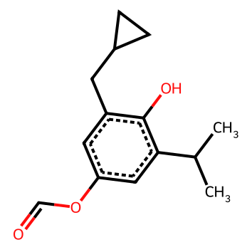 CC(C)c1cc(OC=O)cc(CC2CC2)c1O